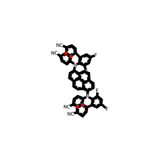 N#Cc1ccc(-c2cc(F)cc(F)c2N(c2ccc(C#N)cc2)c2ccc3ccc4c(N(c5ccc(C#N)cc5)c5c(F)cc(F)cc5-c5ccc(C#N)cc5)ccc5ccc2c3c54)cc1